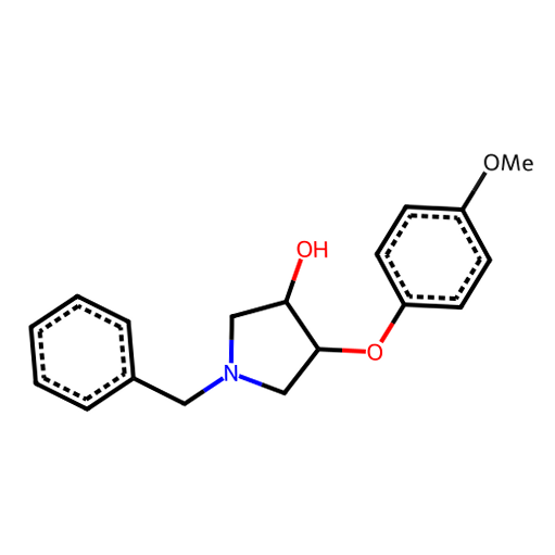 COc1ccc(OC2CN(Cc3ccccc3)CC2O)cc1